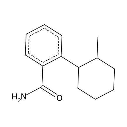 CC1CCCCC1c1ccccc1C(N)=O